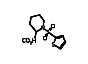 O=C(O)C1CCCCN1S(=O)(=O)c1cccs1